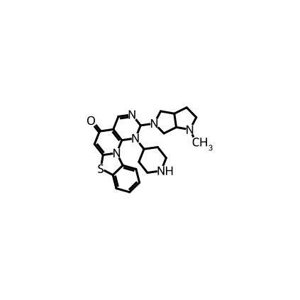 CN1CCC2CN(C3N=Cc4c(n5c(cc4=O)sc4ccccc45)N3C3CCNCC3)CC21